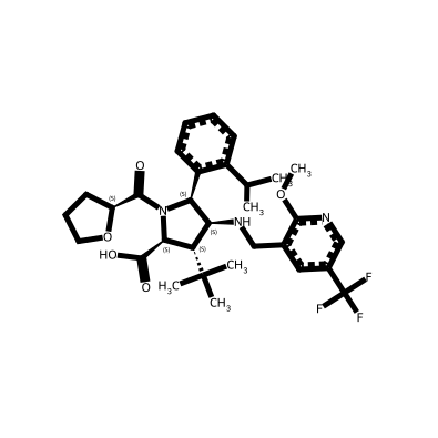 COc1ncc(C(F)(F)F)cc1CN[C@H]1[C@H](C(C)(C)C)[C@@H](C(=O)O)N(C(=O)[C@@H]2CCCO2)[C@H]1c1ccccc1C(C)C